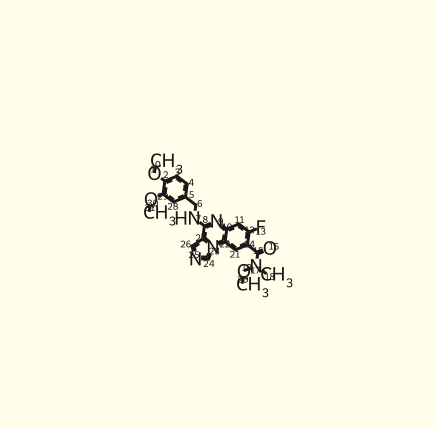 COc1ccc(CNc2nc3cc(F)c(C(=O)N(C)OC)cc3n3cncc23)cc1OC